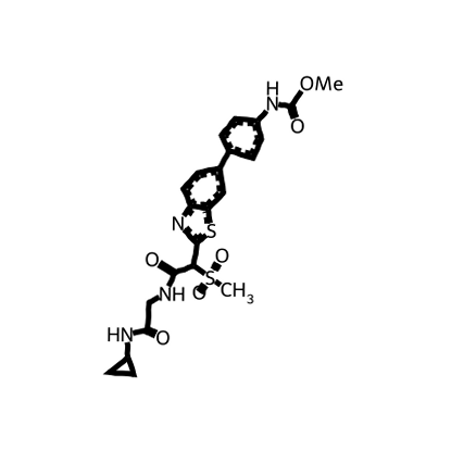 COC(=O)Nc1ccc(-c2ccc3nc(C(C(=O)NCC(=O)NC4CC4)S(C)(=O)=O)sc3c2)cc1